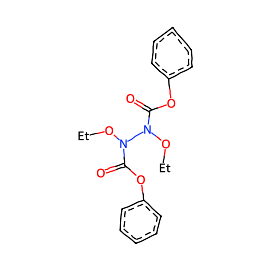 CCON(C(=O)Oc1ccccc1)N(OCC)C(=O)Oc1ccccc1